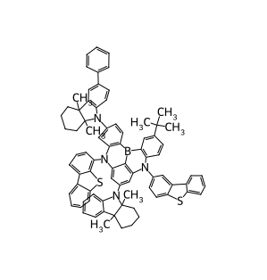 CC(C)(C)c1ccc2c(c1)B1c3ccc(N4c5ccc(-c6ccccc6)cc5C5(C)CCCCC45C)cc3N(c3cccc4c3sc3ccccc34)c3cc(N4c5ccccc5C5(C)CCCCC45C)cc(c31)N2c1ccc2sc3ccccc3c2c1